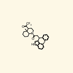 CC12CCCCC1N(C(=O)CC(c1ccccc1)c1c[nH]c3cccc(F)c13)CCC2C(=O)C(F)(F)F